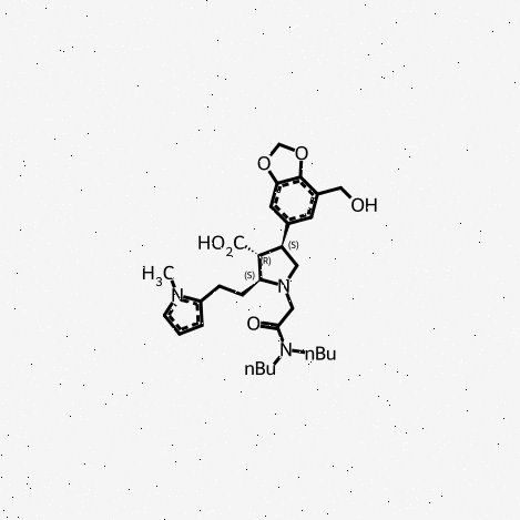 CCCCN(CCCC)C(=O)CN1C[C@H](c2cc(CO)c3c(c2)OCO3)[C@@H](C(=O)O)[C@@H]1CCc1cccn1C